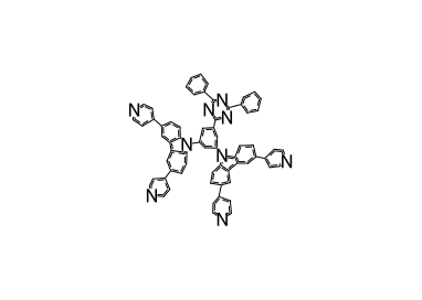 c1ccc(-c2nc(-c3ccccc3)nc(-c3cc(-n4c5ccc(-c6ccncc6)cc5c5cc(-c6ccncc6)ccc54)cc(-n4c5ccc(-c6ccncc6)cc5c5cc(-c6ccncc6)ccc54)c3)n2)cc1